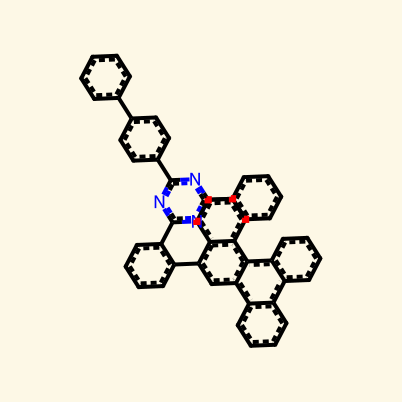 c1ccc(-c2ccc(-c3nc(-c4ccccc4)nc(-c4ccccc4-c4cc5c6ccccc6c6ccccc6c5c5ccccc45)n3)cc2)cc1